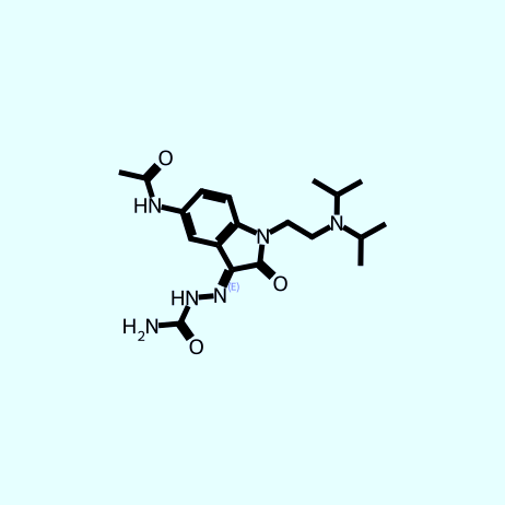 CC(=O)Nc1ccc2c(c1)/C(=N\NC(N)=O)C(=O)N2CCN(C(C)C)C(C)C